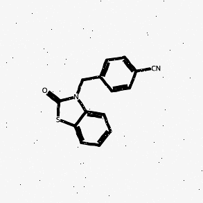 N#Cc1ccc(Cn2c(=O)sc3ccccc32)cc1